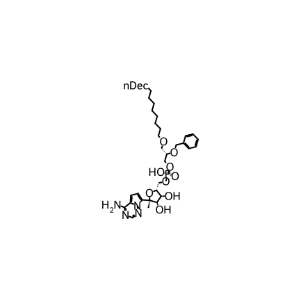 CCCCCCCCCCCCCCCCCCOC[C@@H](COP(=O)(O)OC[C@H]1O[C@@](C)(c2ccc3c(N)ncnn23)[C@H](O)[C@@H]1O)OCc1ccccc1